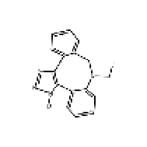 CCn1nnc2c1-c1ccccc1N(CI)Cc1ccccc1-2